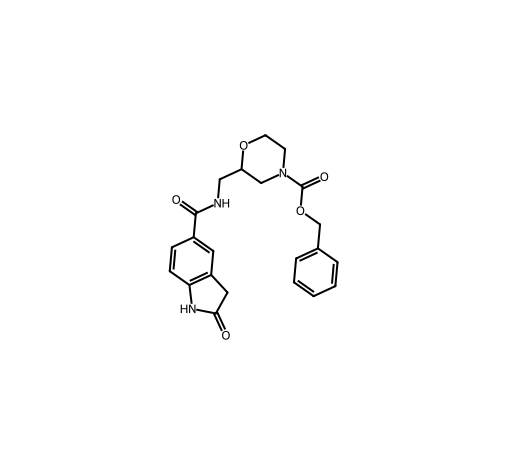 O=C1Cc2cc(C(=O)NCC3CN(C(=O)OCc4ccccc4)CCO3)ccc2N1